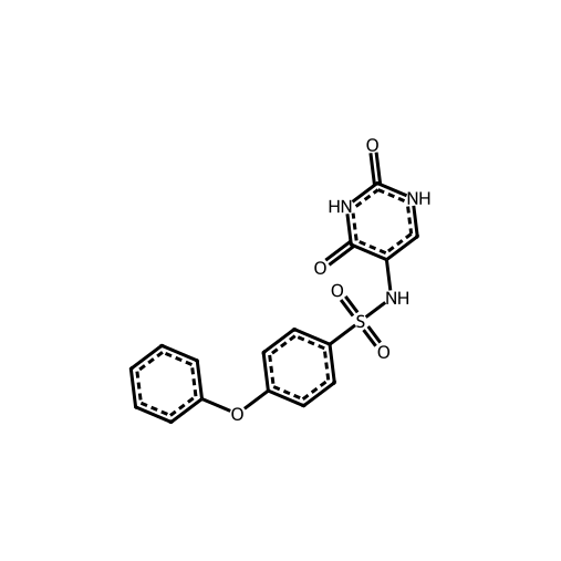 O=c1[nH]cc(NS(=O)(=O)c2ccc(Oc3ccccc3)cc2)c(=O)[nH]1